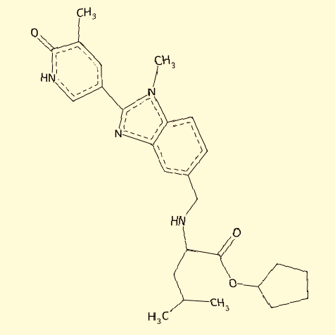 Cc1cc(-c2nc3cc(CNC(CC(C)C)C(=O)OC4CCCC4)ccc3n2C)c[nH]c1=O